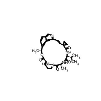 CC(C)[C@@H]1NC(=O)C2(/C=C/c3cc4cc(ccc4cn3)[C@@H](C)OC(=O)[C@@H]3CCCN(N3)C(=O)[C@H](C)NC1=O)CC2